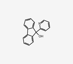 OC1(c2ccccn2)c2ccccc2-c2ccccc21